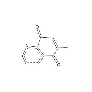 CC1=CC(=O)c2ncccc2C1=O